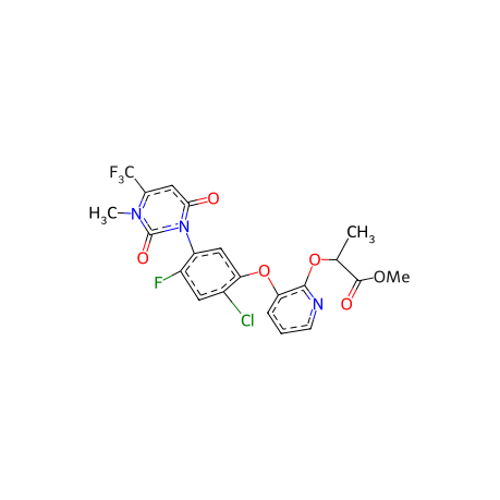 COC(=O)C(C)Oc1ncccc1Oc1cc(-n2c(=O)cc(C(F)(F)F)n(C)c2=O)c(F)cc1Cl